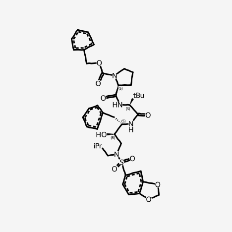 CC(C)CN(C[C@@H](O)[C@H](Cc1ccccc1)NC(=O)[C@@H](NC(=O)[C@@H]1CCCN1C(=O)OCc1ccccc1)C(C)(C)C)S(=O)(=O)c1ccc2c(c1)OCO2